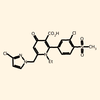 CCn1c(Cn2ccc(Cl)n2)cc(=O)c(C(=O)O)c1-c1ccc(S(C)(=O)=O)c(Cl)c1